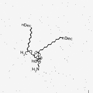 C=C(CCCCCCCCCCCCCCCCCCCC)OC[C@H](COP(=O)(O)OCCN)OC(=O)CCCCCCCCCCCCCCCCCCCCC